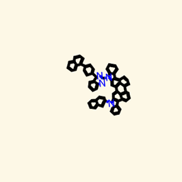 c1ccc2cc(-n3c4ccccc4c4c5cccc6c7cccc8c7c(cc7c8c8ccccc8n7-c7nc(-c8ccc(-c9cccc%10ccccc9%10)cc8)c8ccccc8n7)c(cc43)c65)ccc2c1